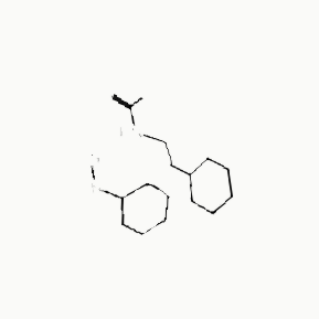 CCNC1CCCCC1.S=C(S)NCCC1CCCCC1